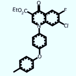 CCOC(=O)c1cn(-c2ccc(Oc3ccc(C)cc3)cc2)c2cc(Cl)c(F)cc2c1=O